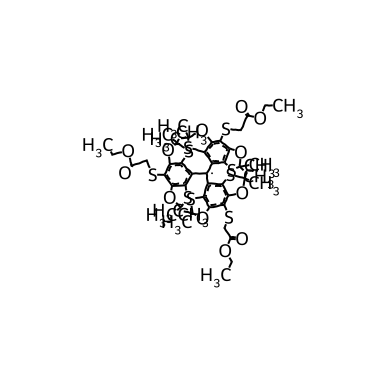 CCOC(=O)CSc1c2c(c([C](c3c4c(c(SCC(=O)OCC)c5c3SC(C)(C)O5)OC(C)(C)S4)c3c4c(c(SCC(=O)OCC)c5c3SC(C)(C)O5)OC(C)(C)S4)c3c1OC(C)(C)S3)SC(C)(C)O2